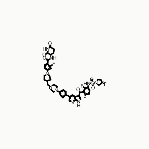 O=C1CC[C@@H](NC(=O)c2ccc(N3CCC(CN4CCN(c5ccc(-c6cnc7[nH]cc(C(=O)c8c(F)ccc(NS(=O)(=O)N9CC[C@@H](F)C9)c8F)c7c6)cc5)CC4)CC3)cc2F)C(=O)N1